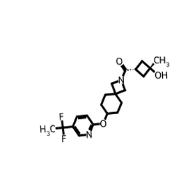 CC(F)(F)c1ccc(OC2CCC3(CC2)CN(C(=O)[C@H]2C[C@@](C)(O)C2)C3)nc1